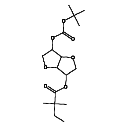 CCC(C)(C)C(=O)OC1COC2C(OC(=O)OC(C)(C)C)COC12